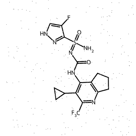 NS(=O)(=NC(=O)Nc1c2c(nc(C(F)(F)F)c1C1CC1)CCC2)c1n[nH]cc1F